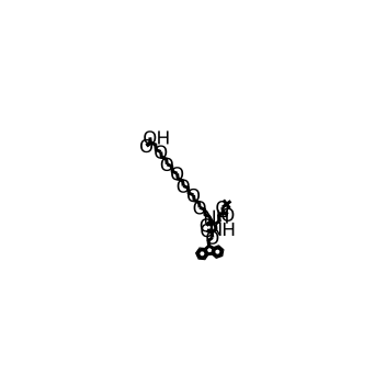 CC(C)(C)OC(=O)CCC(NC(=O)OCC1c2ccccc2-c2ccccc21)C(=O)NCCOCCOCCOCCOCCOCCOCCC(=O)O